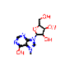 C[n+]1cn(C2OC(CO)C(O)C2O)c2ncnc(O)c21